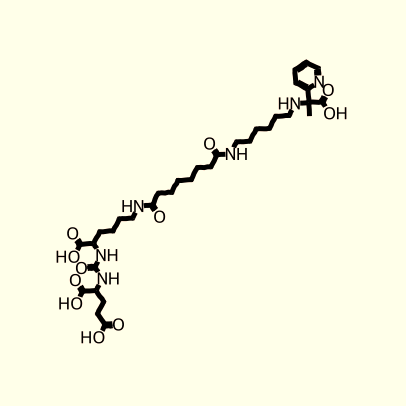 CC(NCCCCCCNC(=O)CCCCCCC(=O)NCCCCC(NC(=O)NC(CCC(=O)O)C(=O)O)C(=O)O)(C(=O)O)c1ccccn1